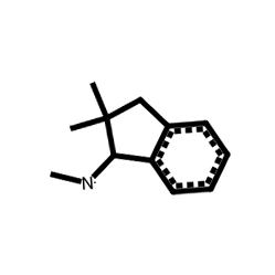 C[N]C1c2ccccc2CC1(C)C